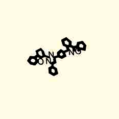 C1=C(c2nc(-c3ccccc3)cc(-c3ccc(-c4nc5oc6ccccc6c5c5ccccc45)cc3)n2)c2oc3ccccc3c2CC1